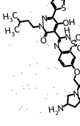 CC(C)CCn1nc(-c2cccs2)c(O)c(C2=Nc3ccc(OCC(=O)N4CCC(N)C4)cc3S(=O)(=O)N2)c1=O